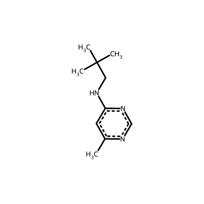 Cc1cc(NCC(C)(C)C)ncn1